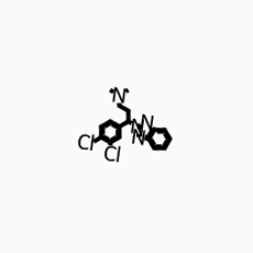 CN(C)CCC(c1ccc(Cl)c(Cl)c1)n1nc2ccccc2n1